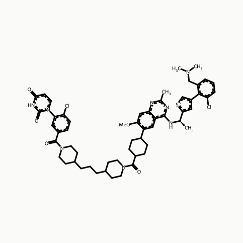 COc1cc2nc(C)nc(N[C@H](C)c3cc(-c4c(Cl)cccc4CN(C)C)cs3)c2cc1C1CCC(C(=O)N2CCC(CCCC3CCN(C(=O)c4ccc(Cl)c(-n5ccc(=O)[nH]c5=O)c4)CC3)CC2)CC1